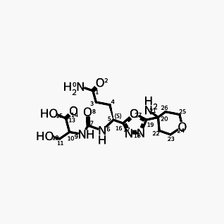 NC(=O)CC[C@H](NC(=O)NC(CO)C(=O)O)c1nnc(C2(N)CCOCC2)o1